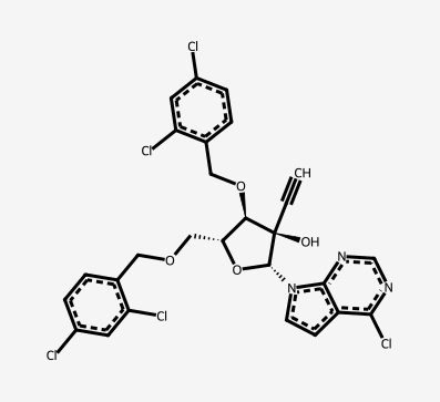 C#C[C@@]1(O)[C@H](OCc2ccc(Cl)cc2Cl)[C@@H](COCc2ccc(Cl)cc2Cl)O[C@H]1n1ccc2c(Cl)ncnc21